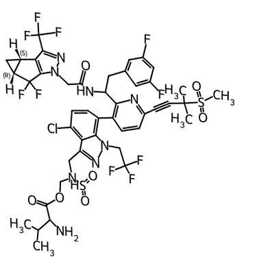 CC(C)C(N)C(=O)OCN(Cc1nn(CC(F)(F)F)c2c(-c3ccc(C#CC(C)(C)S(C)(=O)=O)nc3C(Cc3cc(F)cc(F)c3)NC(=O)Cn3nc(C(F)(F)F)c4c3C(F)(F)[C@@H]3C[C@H]43)ccc(Cl)c12)[SH](=O)=O